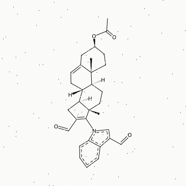 CC(=O)O[C@H]1CC[C@@]2(C)C(=CC[C@@H]3[C@@H]2CC[C@]2(C)C(n4cc(C=O)c5ccccc54)=C(C=O)C[C@@H]32)C1